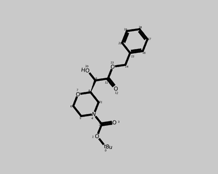 CC(C)(C)OC(=O)N1CCO[C@@H](C(O)C(=O)OCc2ccccc2)C1